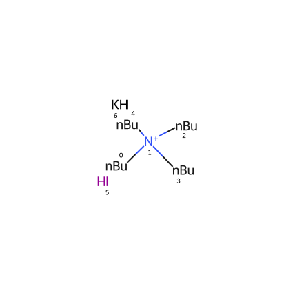 CCCC[N+](CCCC)(CCCC)CCCC.I.[KH]